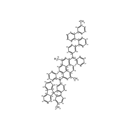 Cc1cccc(-c2ccccc2-c2ccccc2-c2cccc(N(c3ccccc3)c3cc(C)c4ccc5c(N(c6ccccc6)c6cccc(C7(c8cccc(C)c8)c8ccccc8-c8ccccc87)c6)cc(C)c6ccc3c4c65)c2)c1